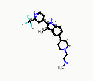 CNCCN1CCC(c2ccc3[nH]c(-c4ccnc(C(F)(F)F)c4)c(C)c3c2)CC1